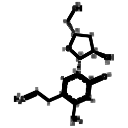 C=CCc1cn([C@@H]2O[C@H](CO)C[C@H]2O)c(=O)nc1N